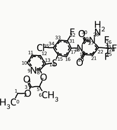 CCOC(=O)C(C)Oc1ncccc1Sc1cc(-n2c(=O)cc(C(F)(F)F)n(N)c2=O)c(F)cc1Cl